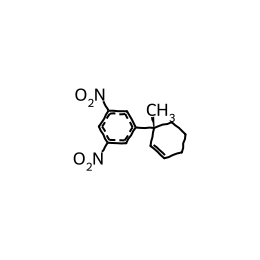 C[C@]1(c2cc([N+](=O)[O-])cc([N+](=O)[O-])c2)C=CCCC1